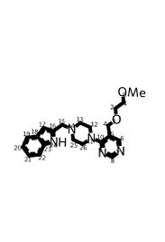 COCCOCc1cncnc1N1CCN(Cc2cc3ccccc3[nH]2)CC1